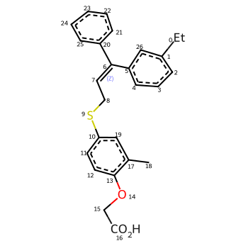 CCc1cccc(/C(=C\CSc2ccc(OCC(=O)O)c(C)c2)c2ccccc2)c1